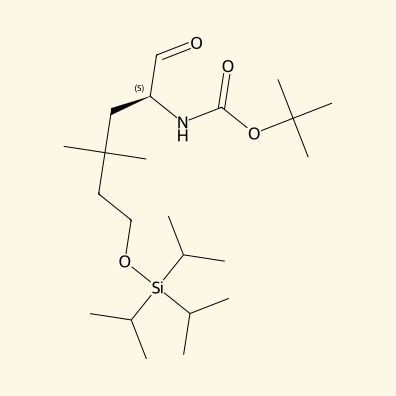 CC(C)[Si](OCCC(C)(C)C[C@@H](C=O)NC(=O)OC(C)(C)C)(C(C)C)C(C)C